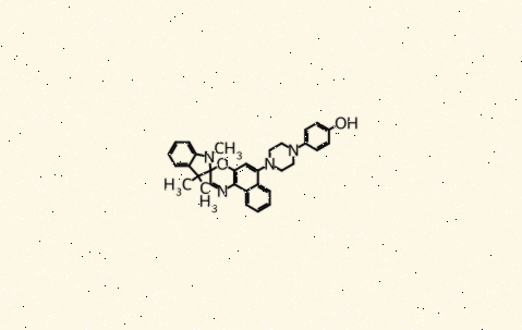 CN1c2ccccc2C(C)(C)C12C=Nc1c(cc(N3CCN(c4ccc(O)cc4)CC3)c3ccccc13)O2